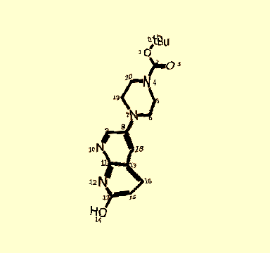 CC(C)(C)OC(=O)N1CCN(c2cnc3nc(O)ccc3c2)CC1